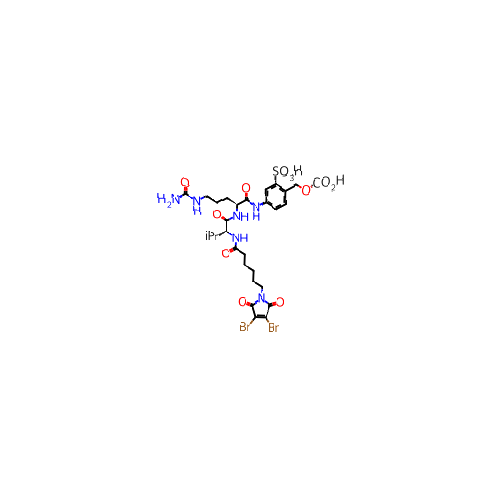 CC(C)[C@H](NC(=O)CCCCCN1C(=O)C(Br)=C(Br)C1=O)C(=O)N[C@@H](CCCNC(N)=O)C(=O)Nc1ccc(COC(=O)O)c(S(=O)(=O)O)c1